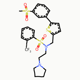 CS(=O)(=O)c1cccc(-c2ccc(CN(CCN3CCCC3)S(=O)(=O)c3ccccc3C(F)(F)F)s2)c1